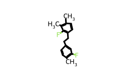 Cc1ccc(CCc2ccc(C)c(C)c2F)cc1F